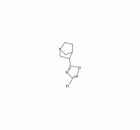 CCc1noc(C2CN3CCC2C3)n1